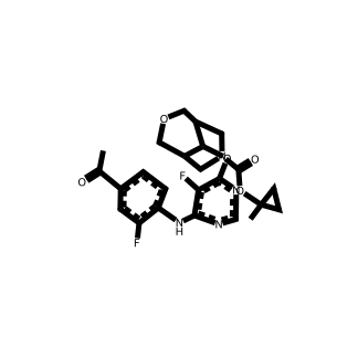 CC(=O)c1ccc(Nc2ncnc(OC3C4COCC3CN(C(=O)OC3(C)CC3)C4)c2F)c(F)c1